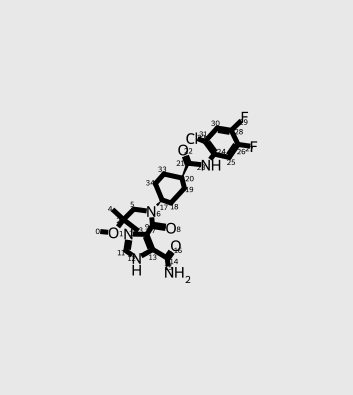 COC(C)(C)CN(C(=O)c1nc[nH]c1C(N)=O)[C@H]1CC[C@H](C(=O)Nc2cc(F)c(F)cc2Cl)CC1